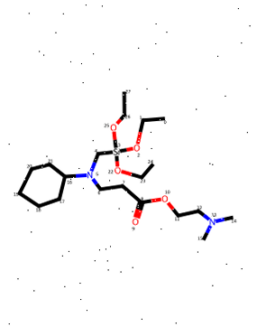 CCO[Si](CN(CCC(=O)OCCN(C)C)C1CCCCC1)(OCC)OCC